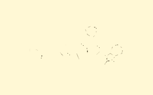 NC(=O)OCC1=C(C(=O)O)N2C(=O)C(NC(=O)C(NC(=O)n3c(=O)[nH]c4ccccc43)c3ccccc3)[C@@H]2SC1